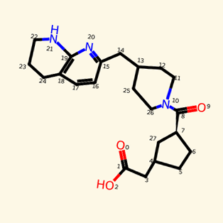 O=C(O)CC1CC[C@H](C(=O)N2CCC(Cc3ccc4c(n3)NCCC4)CC2)C1